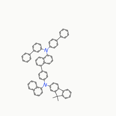 CC1(C)c2ccccc2-c2ccc(N(c3ccc(-c4cccc5c(N(c6ccc(-c7ccccc7)cc6)c6cccc(-c7ccccc7)c6)cccc45)cc3)c3cccc4ccccc34)cc21